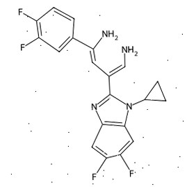 N/C=C(\C=C(/N)c1ccc(F)c(F)c1)c1nc2cc(F)c(F)cc2n1C1CC1